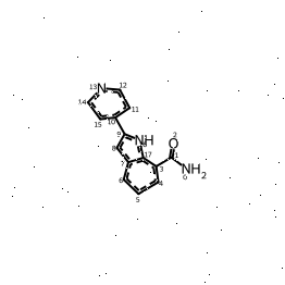 NC(=O)c1cccc2cc(-c3ccncc3)[nH]c12